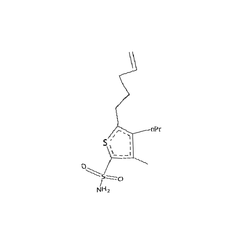 C=CCCCc1sc(S(N)(=O)=O)c(C)c1CCC